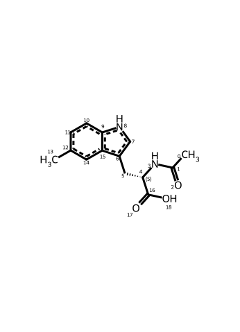 CC(=O)N[C@@H](Cc1c[nH]c2ccc(C)cc12)C(=O)O